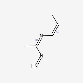 C/C=C\N=C(\C)N=N